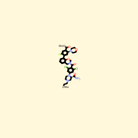 COCCN1CCN(c2cc(Cl)c(C(=O)N3COc4c(cccc4-c4cc(N5CCOCC5)c(C(=O)OC)cc4F)C3)c(Cl)c2)[C@@H](C(N)=O)C1